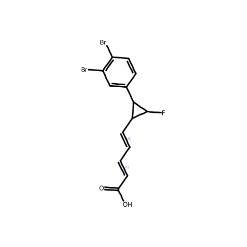 O=C(O)/C=C/C=C/C1C(F)C1c1ccc(Br)c(Br)c1